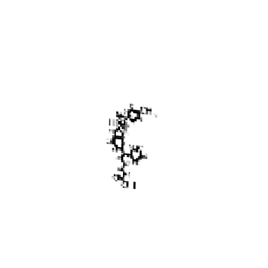 Cc1ccc(S(=O)(=O)NC2Cc3ccc(C(=CCCCC(=O)O)c4cccnc4)cc3C2)cc1